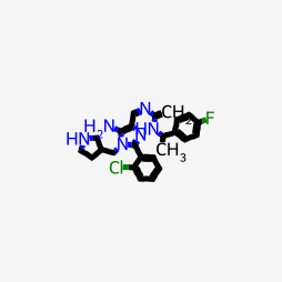 C=C(/N=C\c1nc(-c2ccccc2Cl)n(CC2CCNC2)c1N)NC(C)c1ccc(F)cc1